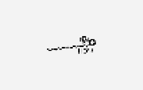 CCCCCCCCCCCCCCCC(C(=O)O)c1ccccc1-n1ccnn1